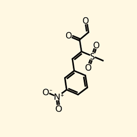 CS(=O)(=O)C(=Cc1cccc([N+](=O)[O-])c1)C(=O)C=O